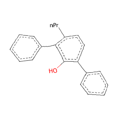 CCCc1ccc(-c2ccccc2)c(O)c1-c1ccccc1